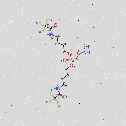 [2H]NOCP(=O)(OCCCCNC(=O)C(F)(F)F)OCCCCNC(=O)C(F)(F)F